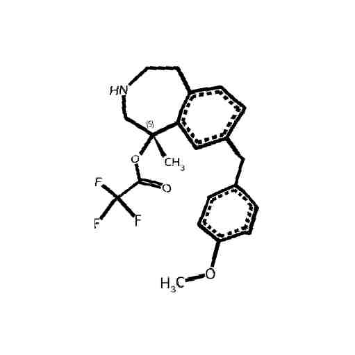 COc1ccc(Cc2ccc3c(c2)[C@](C)(OC(=O)C(F)(F)F)CNCC3)cc1